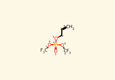 C=CCOP(=O)(OC(F)(F)F)OC(F)(F)F